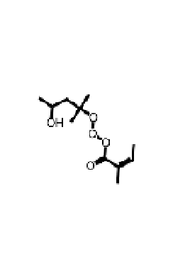 CC=C(C)C(=O)OOOC(C)(C)CC(C)O